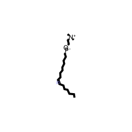 CCCCCC/C=C\CCCCCCCC[P-]OCC[N+](C)(C)C